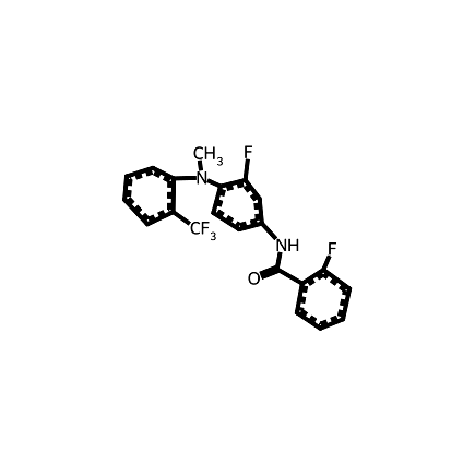 CN(c1ccc(NC(=O)c2ccccc2F)cc1F)c1ccccc1C(F)(F)F